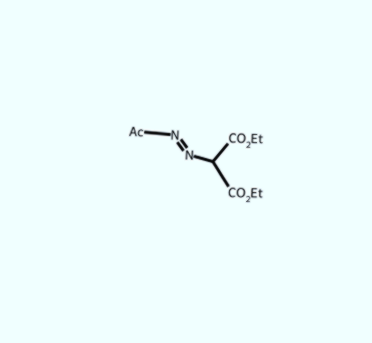 CCOC(=O)C(N=NC(C)=O)C(=O)OCC